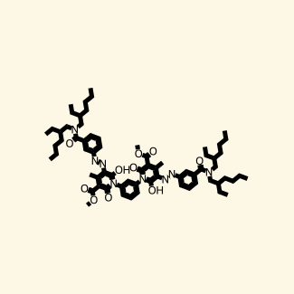 CCCCC(CC)CN(CC(CC)CCCC)C(=O)c1cccc(/N=N/c2c(C)c(C(=O)OC)c(=O)n(-c3cccc(-n4c(O)c(/N=N/c5cccc(C(=O)N(CC(CC)CCCC)CC(CC)CCCC)c5)c(C)c(C(=O)OC)c4=O)c3)c2O)c1